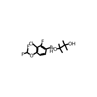 CC(C)(O)C(C)(C)OBc1ccc(OC(F)F)c(Cl)c1F